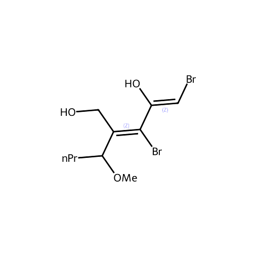 CCCC(OC)/C(CO)=C(Br)/C(O)=C/Br